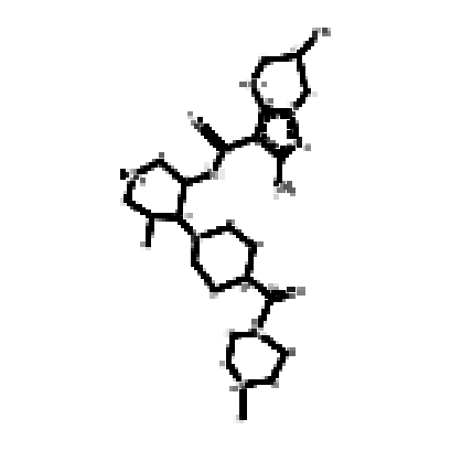 CC1CNCC(NC(=O)c2c(N)nn3c2NCC(F)C3)C1N1CCC(C(=O)N2CCN(C)CC2)CC1